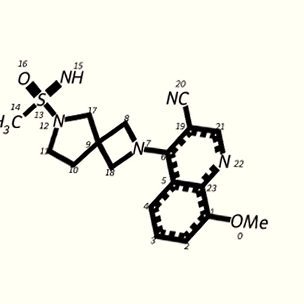 COc1cccc2c(N3CC4(CCN(S(C)(=N)=O)C4)C3)c(C#N)cnc12